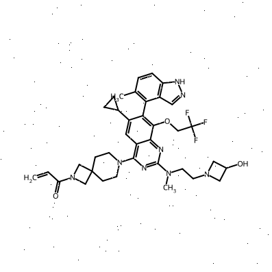 C=CC(=O)N1CC2(CCN(c3nc(N(C)CCN4CC(O)C4)nc4c(OCC(F)(F)F)c(-c5c(C)ccc6[nH]ncc56)c(C5CC5)cc34)CC2)C1